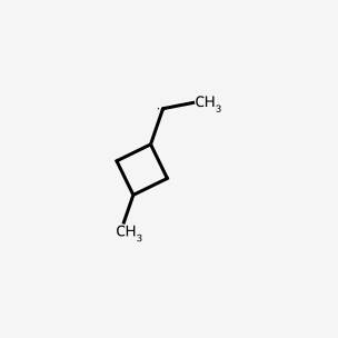 C[CH]C1CC(C)C1